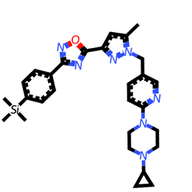 Cc1cc(-c2nc(-c3ccc([Si](C)(C)C)cc3)no2)nn1Cc1ccc(N2CCN(C3CC3)CC2)nc1